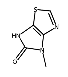 Cn1c(=O)[nH]c2scnc21